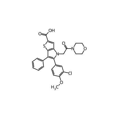 COc1ccc(-c2c(-c3ccccc3)c3sc(C(=O)O)cc3n2CC(=O)N2CCOCC2)cc1Cl